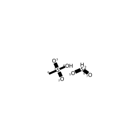 CS(=O)(=O)O.O=[SH2]=O